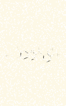 COc1cc2cnc(Nc3cccc(O)c3O)nc2cc1OC